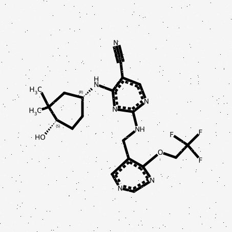 CC1(C)C[C@H](Nc2nc(NCc3cncnc3OCC(F)(F)F)ncc2C#N)CC[C@@H]1O